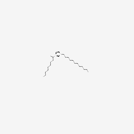 CCCCCCCCCCCCn1cc[n+](C(C)CCCCCCCC)c1